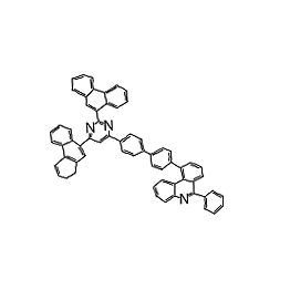 C1=Cc2c(cc(-c3cc(-c4ccc(-c5ccc(-c6cccc7c(-c8ccccc8)nc8ccccc8c67)cc5)cc4)nc(-c4cc5ccccc5c5ccccc45)n3)c3ccccc23)CC1